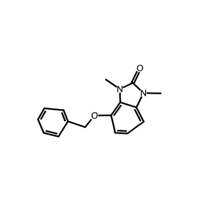 Cn1c(=O)n(C)c2c(OCc3ccccc3)cccc21